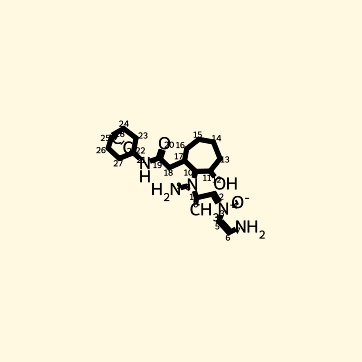 CC(/C=[N+]([O-])\C=C/N)N(N)C1C(O)CCCCC1CC(=O)NC12CCC(CC1)CC2